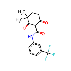 CC1(C)CCC(=O)C(C(=O)Nc2cccc(C(F)(F)F)c2)C1=O